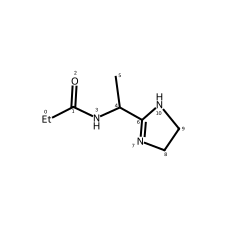 CCC(=O)NC(C)C1=NCCN1